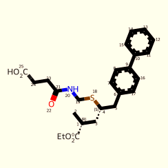 CCOC(=O)[C@H](C)C[C@@H](Cc1ccc(-c2ccccc2)cc1)SCNC(=O)CCC(=O)O